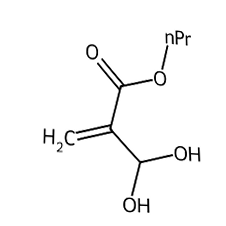 C=C(C(=O)OCCC)C(O)O